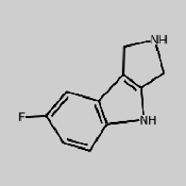 Fc1ccc2[nH]c3c(c2c1)CNC3